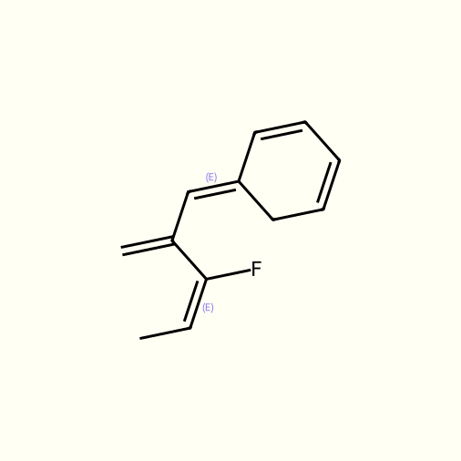 C=C(/C=C1/C=CC=CC1)/C(F)=C\C